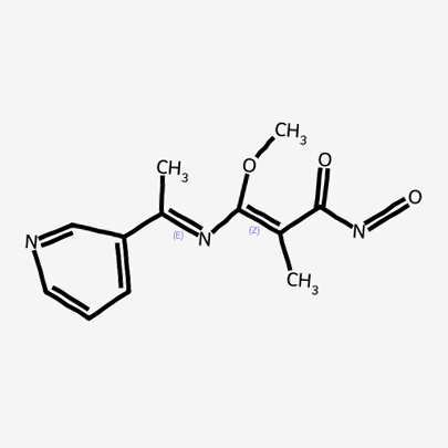 COC(/N=C(\C)c1cccnc1)=C(/C)C(=O)N=O